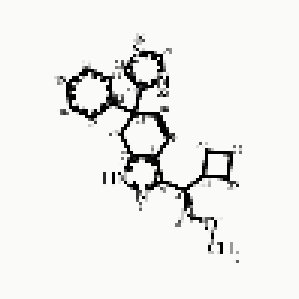 CO/N=C(/c1n[nH]c2c1C=CC(c1ccccc1)(c1cscn1)C2)C1CCC1